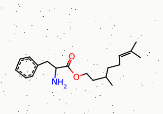 CC(C)=CCCC(C)CCOC(=O)C(N)Cc1ccccc1